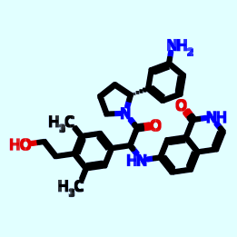 Cc1cc(C(Nc2ccc3cc[nH]c(=O)c3c2)C(=O)N2CCC[C@@H]2c2cccc(N)c2)cc(C)c1CCO